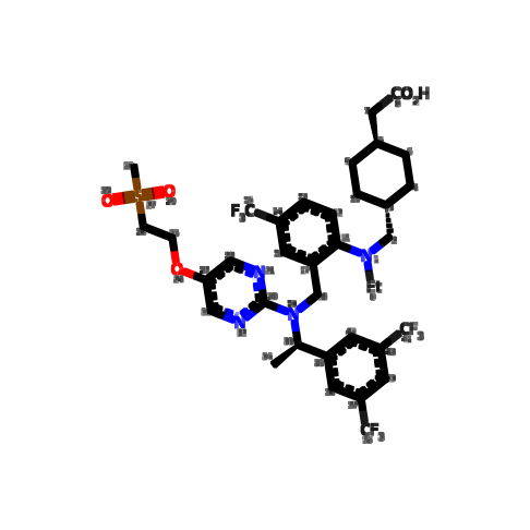 CCN(C[C@H]1CC[C@H](CC(=O)O)CC1)c1ccc(C(F)(F)F)cc1CN(c1ncc(OCCS(C)(=O)=O)cn1)[C@H](C)c1cc(C(F)(F)F)cc(C(F)(F)F)c1